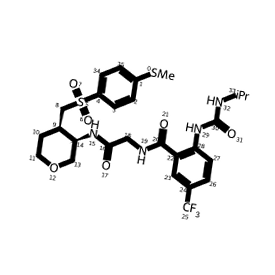 CSc1ccc(S(=O)(=O)C[C@@H]2CCOC[C@@H]2NC(=O)CNC(=O)c2cc(C(F)(F)F)ccc2NC(=O)NC(C)C)cc1